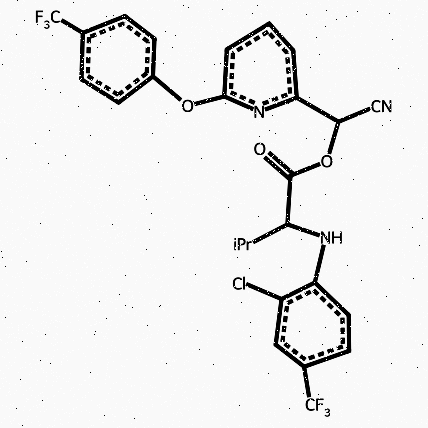 CC(C)C(Nc1ccc(C(F)(F)F)cc1Cl)C(=O)OC(C#N)c1cccc(Oc2ccc(C(F)(F)F)cc2)n1